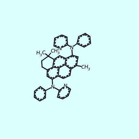 Cc1cc(N(c2ccccc2)c2ccccn2)c2cc3c4c(cc(N(c5ccccc5)c5ccccn5)c5ccc1c2c54)CCC3(C)C